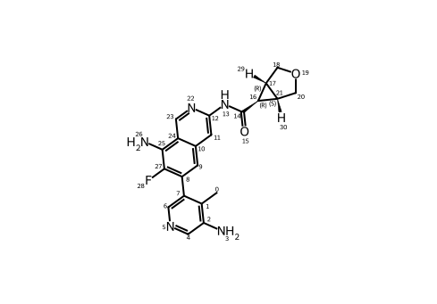 Cc1c(N)cncc1-c1cc2cc(NC(=O)[C@H]3[C@@H]4COC[C@@H]43)ncc2c(N)c1F